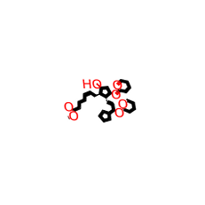 COC(=O)CCC/C=C\C[C@@H]1[C@@H](/C=C/[C@@H](OC2CCCCO2)C2CCCC2)[C@H](OC2CCCCO2)C[C@@H]1O